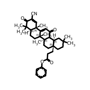 CC1(C)CC[C@]2(CCC(=O)Oc3ccccc3)CC[C@]3(C)C(C(=O)C=C4[C@@]5(C)C=C(C#N)C(=O)C(C)(C)[C@@H]5CC[C@]43C)[C@H]2C1